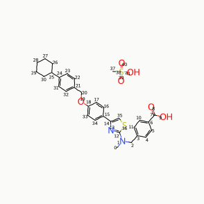 CN(Cc1ccc(C(=O)O)cc1)c1nc(-c2ccc(OCc3ccc(C4CCCCC4)cc3)cc2)cs1.CS(=O)(=O)O